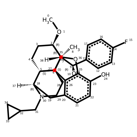 CO[C@]12CC[C@@]3(C[C@]1(C)[C@H](O)c1ccc(F)cc1)[C@H]1Cc4ccc(O)c5c4[C@@]3(CCN1CC1CC1)[C@H]2O5